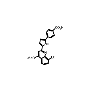 CCc1cccc2c(OC)cc(-c3ccc(-c4ccc(C(=O)O)cc4)[nH]3)nc12